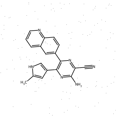 Cc1cc(-c2nc(N)c(C#N)nc2-c2ccc3ncccc3c2)c[nH]1